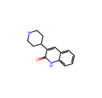 O=c1[nH]c2ccccc2cc1C1CC[N]CC1